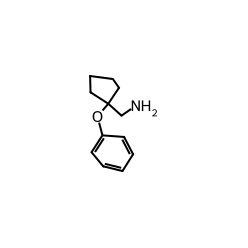 NCC1(Oc2ccccc2)CCCC1